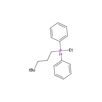 CC[PH](CCCC(C)(C)C)(c1ccccc1)c1ccccc1